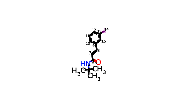 CC(C)(C)NC(=O)/C=C/c1cccc(I)c1